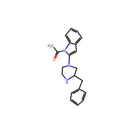 CC(=O)n1c(N2CCNC(Cc3ccccc3)C2)cc2ccccc21